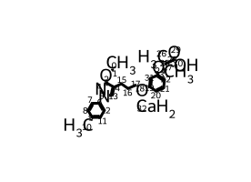 CCOc1nn(-c2ccc(C)cc2)cc1CCCOc1cccc(OC(C)(C)C(=O)O)c1.[CaH2]